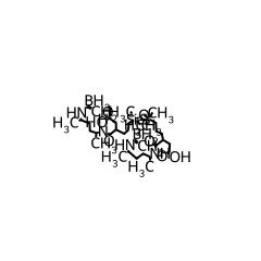 BC(=C)NC(C)CCC(C)NC(=O)C(CCC[Si](C)(C)O[Si](C)(C)CCCC(CC(=O)O)C(=O)NC(C)CCC(C)NC(B)=C)CC(=O)O